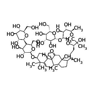 C[C@H](CC[C@@H](O[C@@H]1O[C@H](C)[C@@H](O)[C@H](O)[C@H]1O[C@H]1O[C@@H](CO)[C@H](O)[C@@H](O)[C@@H]1O)C(C)(C)O)C1CC[C@@]2(C)C3CC=C4C(CC[C@H](O[C@@H]5O[C@H](CO)C([C@@H]6O[C@H](CO)[C@@H](O)[C@H](O)[C@H]6O)[C@H](O)[C@H]5O)C4(C)C)[C@]3(C)C(=O)C[C@]12C